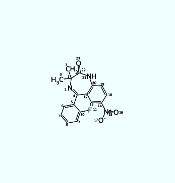 CC1(C)N=C(c2ccccc2F)c2cc([N+](=O)[O-])ccc2NC1=O